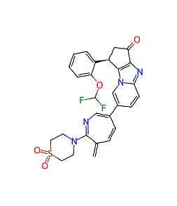 C=C1C=CC(c2ccc3nc4c(n3c2)[C@@H](c2ccccc2OC(F)F)CC4=O)=CN=C1N1CCS(=O)(=O)CC1